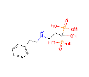 O=P(O)(O)C(O)(CCNCCc1ccccc1)P(=O)(O)O